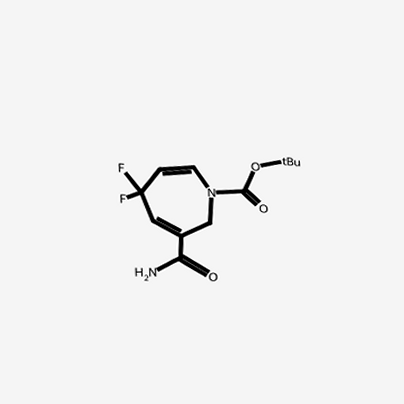 CC(C)(C)OC(=O)N1C=CC(F)(F)C=C(C(N)=O)C1